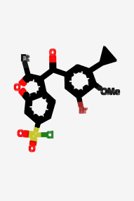 CCc1oc2cc(S(=O)(=O)Cl)ccc2c1C(=O)c1cc(Br)c(OC)c(C2=C=C2)c1